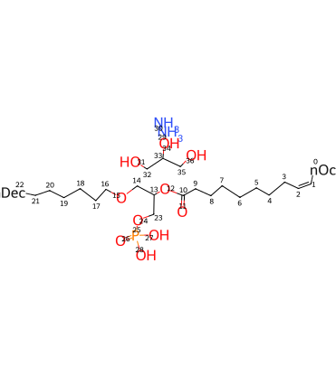 CCCCCCCC/C=C\CCCCCCCC(=O)OC(COCCCCCCCCCCCCCCCC)COP(=O)(O)O.N.N.OCC(O)CO